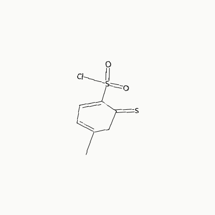 CC1=CC=C(S(=O)(=O)Cl)C(=S)C1